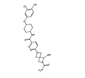 CC(C)(C)C1N(C(N)=O)CC12CN(c1ccc(C(=O)NC3CCC(Oc4ccc(C#N)c(Cl)c4)CC3)nn1)C2